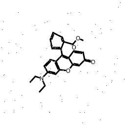 CCN(CC)c1ccc2c(-c3ccccc3C(=O)OC)c3ccc(=O)cc-3oc2c1